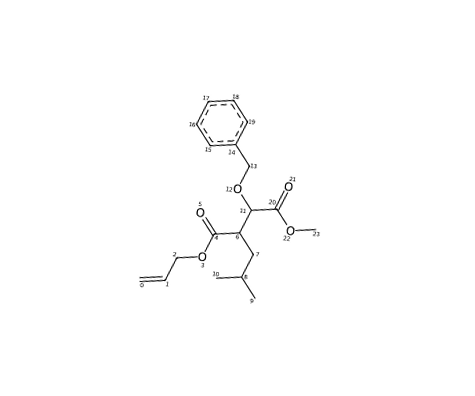 C=CCOC(=O)C(CC(C)C)C(OCc1ccccc1)C(=O)OC